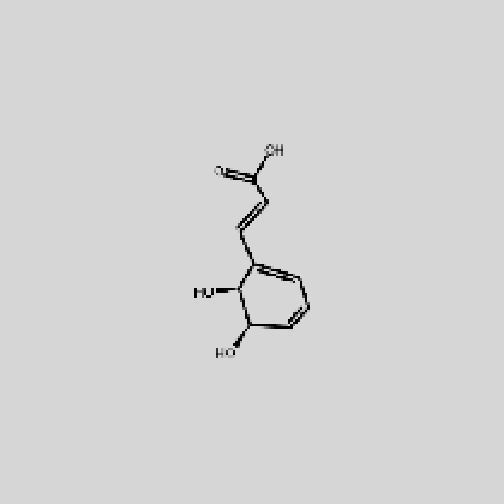 O=C(O)/C=C/C1=CC=C[C@@H](O)[C@H]1O